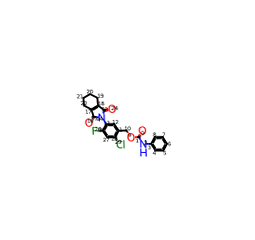 O=C(Nc1ccccc1)OCc1cc(N2C(=O)C3=C(CCCC3)C2=O)c(F)cc1Cl